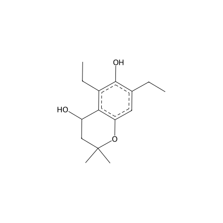 CCc1cc2c(c(CC)c1O)C(O)CC(C)(C)O2